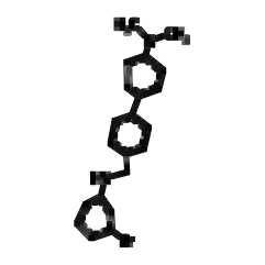 CN(C)c1ccc(-c2ccc(CNc3cccc(Br)c3)cc2)cc1